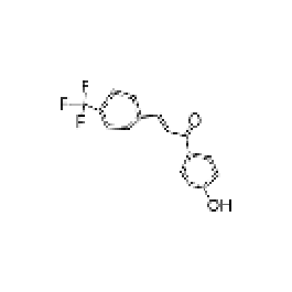 O=C(/C=C/c1ccc(C(F)(F)F)cc1)c1ccc(O)cc1